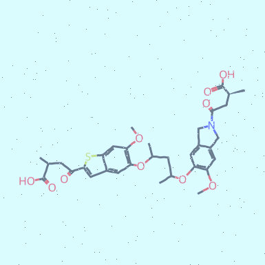 COc1cc2c(cc1OC(C)CC(C)Oc1cc3cc(C(=O)CC(C)C(=O)O)sc3cc1OC)CN(C(=O)C[C@H](C)C(=O)O)C2